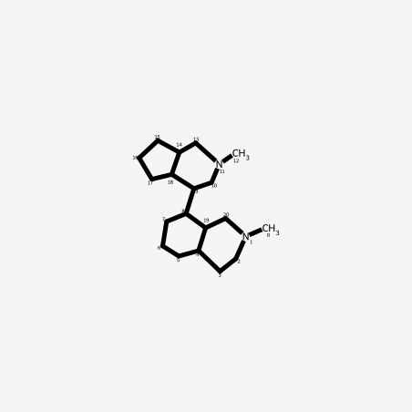 CN1CCC2CCCC(C3CN(C)CC4CCCC43)C2C1